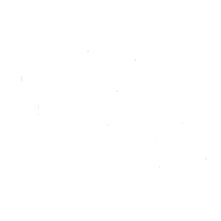 O=S(=O)(Oc1ccccc1OC(F)(F)F)c1ccccc1